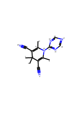 CC1=C(C#N)C(C)(C)C(C#N)=C(C)N1c1ncncn1